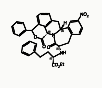 CCOC(=O)[C@H](CCc1ccccc1)N[C@H]1Cc2ccc([N+](=O)[O-])cc2[C@H]2CCC[C@@H](C(=O)OC(c3ccccc3)c3ccccc3)N2C1=O